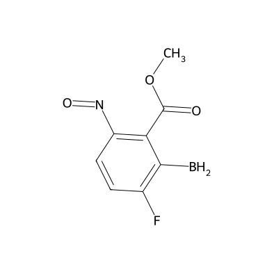 Bc1c(F)ccc(N=O)c1C(=O)OC